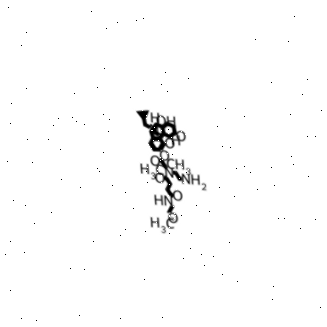 COCCNC(=O)CCC(=O)N(CCN)C(C)(C)C(=O)Oc1ccc2c3c1O[C@H]1C(=O)CC[C@@]4(O)[C@@H](C2)N(CC2CC2)CC[C@]314